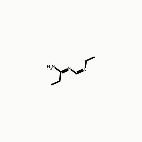 CC/N=C\N=C(\N)CC